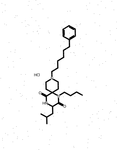 CCCCN1C(=O)C(CC(C)C)NC(=O)C12CCN(CCCCCCc1ccccc1)CC2.Cl